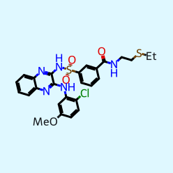 CCSCCNC(=O)c1cccc(S(=O)(=O)Nc2nc3ccccc3nc2Nc2cc(OC)ccc2Cl)c1